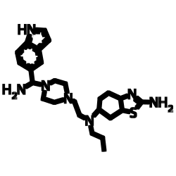 CCCN(CCN1CCN(C(N)c2ccc3[nH]ccc3c2)CC1)C1CCC2N=C(N)SC2C1